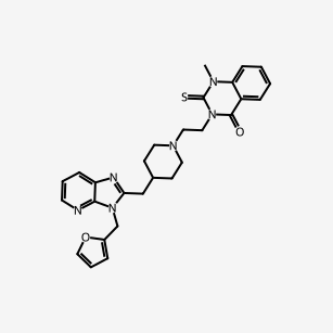 Cn1c(=S)n(CCN2CCC(Cc3nc4cccnc4n3Cc3ccco3)CC2)c(=O)c2ccccc21